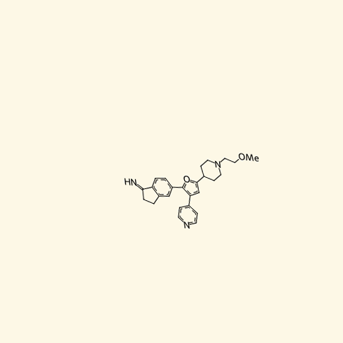 COCCN1CCC(c2cc(-c3ccncc3)c(-c3ccc4c(c3)CCC4=N)o2)CC1